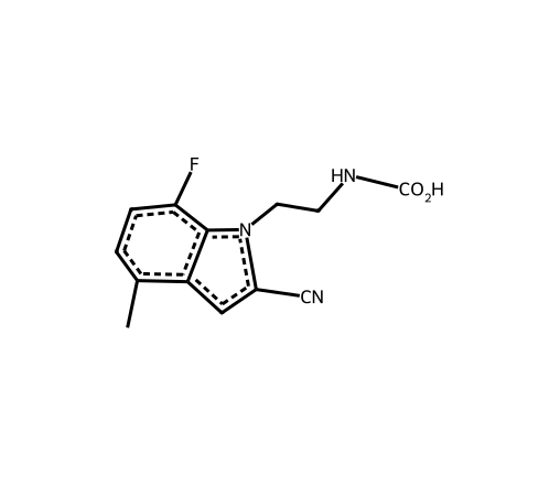 Cc1ccc(F)c2c1cc(C#N)n2CCNC(=O)O